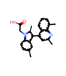 Cc1ccc2c(c1)c(-c1cc(C)nc3c(C)cccc13)c(C)n2CC(=O)O